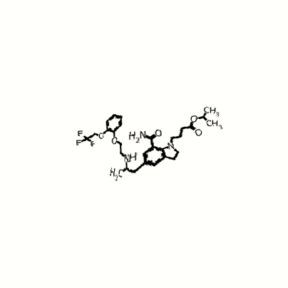 CC(Cc1cc2c(c(C(N)=O)c1)N(CCCC(=O)OC(C)C)CC2)NCCOc1ccccc1OCC(F)(F)F